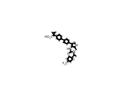 Cc1noc(-c2ccc(-c3ccc(C4(C(=O)O)CC4)cc3)cc2)c1NC(=O)OC(C)c1ccc(C(F)(F)F)cc1